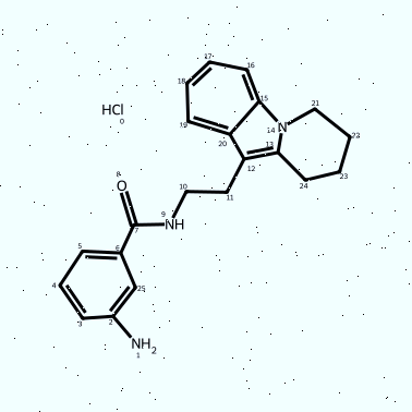 Cl.Nc1cccc(C(=O)NCCc2c3n(c4ccccc24)CCCC3)c1